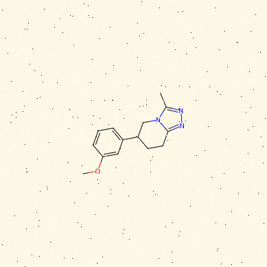 COc1cccc(C2CCc3nnc(C)n3C2)c1